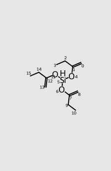 C=C(CC)O[SiH](OC(=C)CC)OC(=C)CC